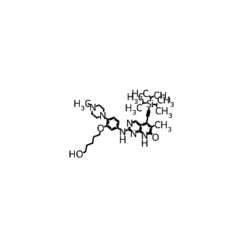 Cc1c(C#C[Si](C(C)C)(C(C)C)C(C)C)c2cnc(Nc3ccc(N4CCN(C)CC4)c(OCCCCCO)c3)nc2[nH]c1=O